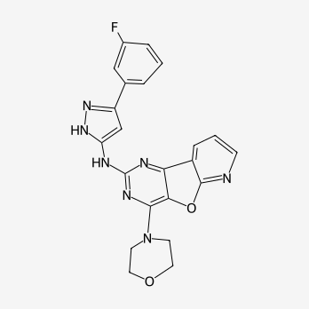 Fc1cccc(-c2cc(Nc3nc(N4CCOCC4)c4oc5ncccc5c4n3)[nH]n2)c1